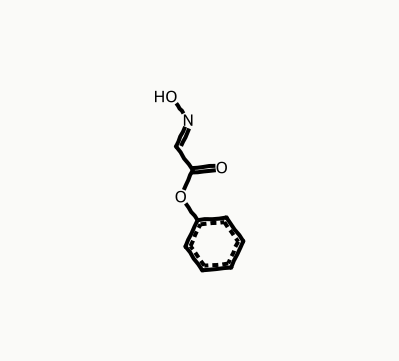 O=C(C=NO)Oc1ccccc1